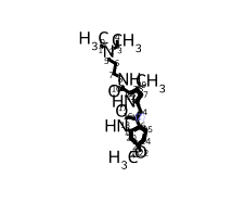 CCN(CC)CCCNC(=O)c1[nH]c(/C=C2\C(=O)Nc3cc(OC)ccc32)cc1C